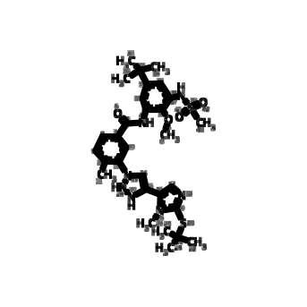 COc1c(NC(=O)c2ccc(C)c(N3C=C(c4cnc(SC(C)(C)C)n4C)NN3)c2)cc(C(C)(C)C)cc1NS(C)(=O)=O